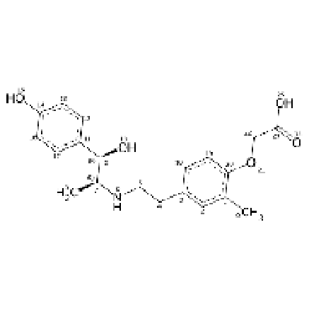 Cc1cc(CCN[C@@H](C)[C@H](O)c2ccc(O)cc2)ccc1OCC(=O)O